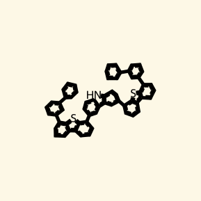 c1ccc(-c2cccc(-c3cccc4c3sc3c(-c5ccc6[nH]c7ccc(-c8cccc9c8sc8c(-c%10cccc(-c%11ccccc%11)c%10)cccc89)cc7c6c5)cccc34)c2)cc1